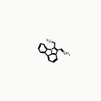 C=Cc1c(CC)n2c3ccccc3c3cccc1c32